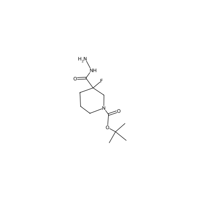 CC(C)(C)OC(=O)N1CCCC(F)(C(=O)NN)C1